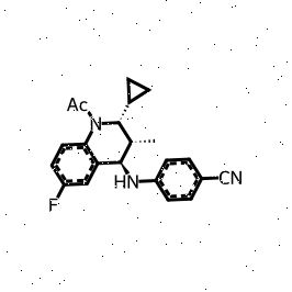 CC(=O)N1c2ccc(F)cc2[C@H](Nc2ccc(C#N)cc2)[C@@H](C)[C@H]1C1CC1